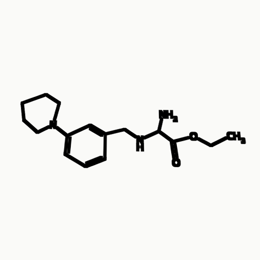 CCOC(=O)C(N)NCc1cccc(N2CCCCC2)c1